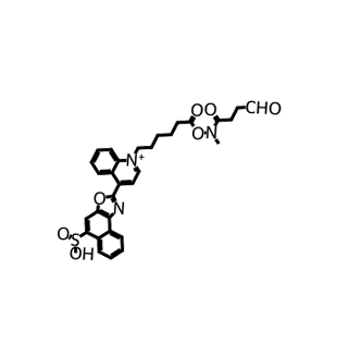 CN(OC(=O)CCCCC[n+]1ccc(-c2nc3c(cc(S(=O)O)c4ccccc43)o2)c2ccccc21)C(=O)CCC=O